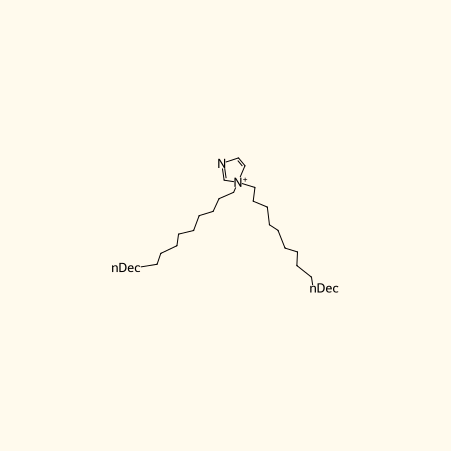 CCCCCCCCCCCCCCCCCCC[N+]1(CCCCCCCCCCCCCCCCCCC)C=CN=C1